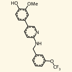 COc1cc(-c2ccc(NCc3cccc(OC(F)(F)F)c3)nc2)ccc1O